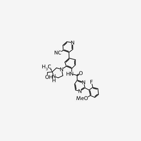 COc1cccc(F)c1-c1nccc(C(=O)Nc2ccc(-c3cnccc3C#N)cc2N2CCN[C@](C)(CO)C2)n1